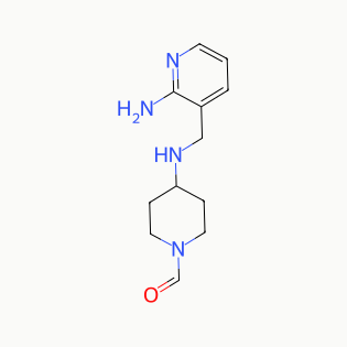 Nc1ncccc1CNC1CCN(C=O)CC1